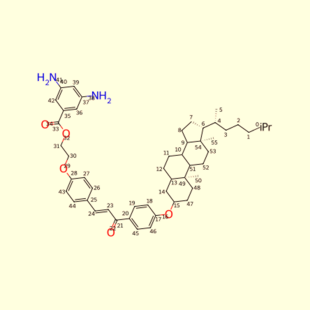 CC(C)CCC[C@@H](C)[C@H]1CCC2C3CCC4CC(Oc5ccc(C(=O)C=Cc6ccc(OCCOC(=O)c7cc(N)cc(N)c7)cc6)cc5)CC[C@]4(C)C3CC[C@@]21C